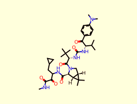 CNC(=O)C(=O)C(CC1CC1)NC(=O)[C@@H]1[C@@H]2[C@H](CN1C(=O)[C@@H](NC(=O)N[C@H](C(=O)c1ccc(N(C)C)cc1)C(C)C)C(C)(C)C)C2(C)C